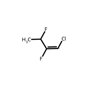 CC(F)/C(F)=[C]\Cl